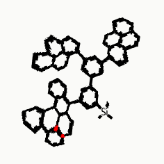 C[Si](C)(C)c1cc(C2=c3ccccc3=C(c3ccccc3-c3ccccc3)C3C=CC=CC23)cc(-c2cc(-c3ccc4ccc5cccc6ccc3c4c56)cc(-c3ccc4ccc5cccc6ccc3c4c56)c2)c1